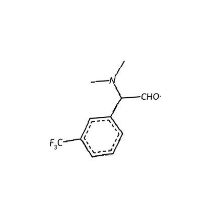 CN(C)C([C]=O)c1cccc(C(F)(F)F)c1